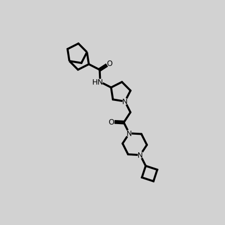 O=C(NC1CCN(CC(=O)N2CCN(C3CCC3)CC2)C1)C1CC2CCC1C2